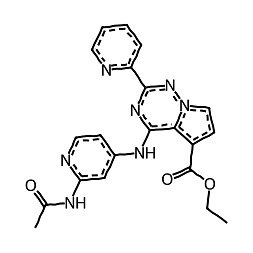 CCOC(=O)c1ccn2nc(-c3ccccn3)nc(Nc3ccnc(NC(C)=O)c3)c12